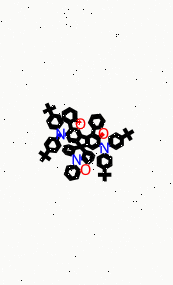 CC(C)(C)c1ccc(N(c2ccc(C(C)(C)C)cc2)c2cc3c(c4c2oc2ccccc24)-c2c(cc(N(c4ccc(C(C)(C)C)cc4)c4ccc(C(C)(C)C)cc4)c4c2oc2ccccc24)C32c3ccccc3N3c4ccccc4Oc4cccc2c43)cc1